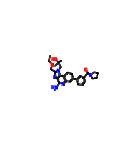 CCOCc1nc2c(N)nc3cc(-c4cccc(C(=O)N5CCCC5)c4)ccc3c2n1CC(C)(C)O